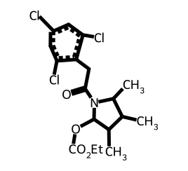 CCOC(=O)OC1C(C)C(C)C(C)N1C(=O)Cc1c(Cl)cc(Cl)cc1Cl